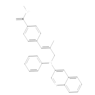 CC(=Cc1ccc(C(=O)NO)cc1)CN(c1ccccc1)c1cnc2ccccc2c1